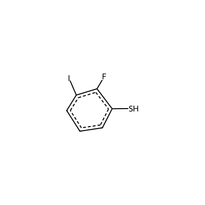 Fc1c(S)cccc1I